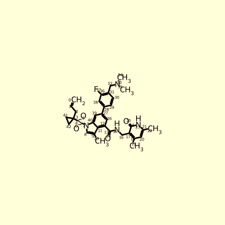 C=CCC1(S(=O)(=O)n2cc(C)c3c(C(=O)NCc4c(C)cc(C)[nH]c4=O)cc(-c4ccc(CN(C)C)c(F)c4)cc32)CC1